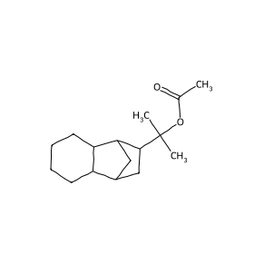 CC(=O)OC(C)(C)C1CC2CC1C1CCCCC21